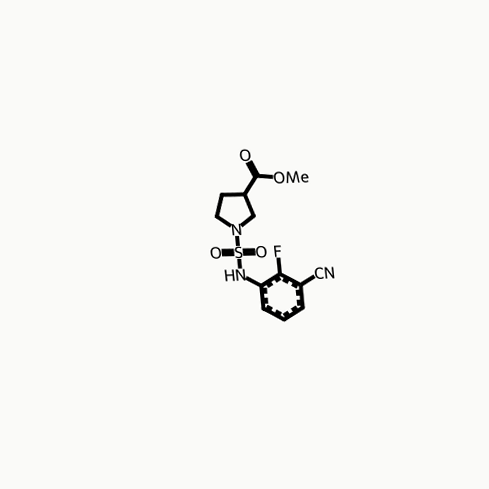 COC(=O)C1CCN(S(=O)(=O)Nc2cccc(C#N)c2F)C1